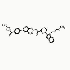 COCCCn1c(C2CCCN(C(=O)C[C@H](N)Cc3ccc(-c4ccc(C(=O)N5CC(O)C5)cc4)cc3)C2)cc2ccccc21